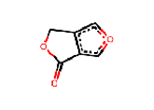 O=C1OCc2cocc21